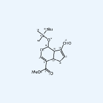 COC(=O)C1=COC(O[Si](C)(C)C(C)(C)C)C2C(C=O)=CCC12